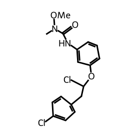 CON(C)C(=O)Nc1cccc(OC(Cl)Cc2ccc(Cl)cc2)c1